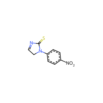 O=[N+]([O-])c1ccc(N2CC=NC2=S)cc1